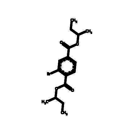 CCC(C)OC(=O)c1ccc(C(=O)OC(C)CC)c(Br)c1